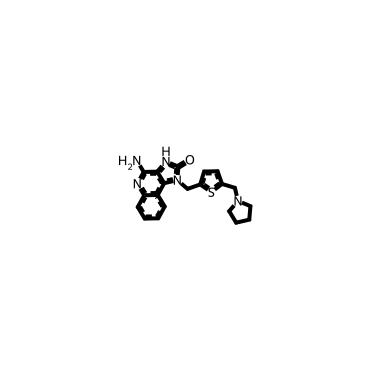 Nc1nc2ccccc2c2c1[nH]c(=O)n2Cc1ccc(CN2CCCC2)s1